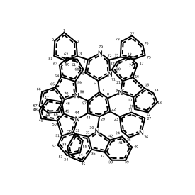 c1ccc(-c2cc(-c3c(-n4c5ccccc5c5ccccc54)c(-c4ccncc4)c(-n4c5ccccc5c5ccccc54)c(-n4c5ccccc5c5ccccc54)c3-n3c4ccccc4c4ccccc43)nc(-c3ccccc3)n2)cc1